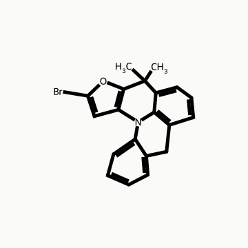 CC1(C)c2cccc3c2N(c2ccccc2C3)c2cc(Br)oc21